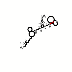 CCCCC(CCCCCC1CCCCC(CNCCC(=O)Nc2cc(NC(=O)CCNCC3CCCCCCCCCCC4C5CCCCCCCCCCCCC54C3)cc(NC(=O)CCSCC)c2)CC2(CCCCCCCC2)CCCC1)C(C)=O